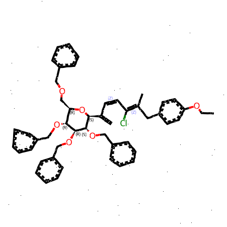 C=C(/C=C\C(Cl)=C(/C)Cc1ccc(OCC)cc1)[C@@H]1O[C@H](COCc2ccccc2)[C@@H](OCc2ccccc2)[C@H](OCc2ccccc2)[C@H]1OCc1ccccc1